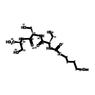 CCCCCCCCCCCCCCCC(=O)N[C@@H](CS)C(=O)N[C@@H](CO)C(=O)N[C@@H](CO)C(=O)O